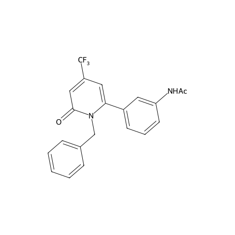 CC(=O)Nc1cccc(-c2cc(C(F)(F)F)cc(=O)n2Cc2ccccc2)c1